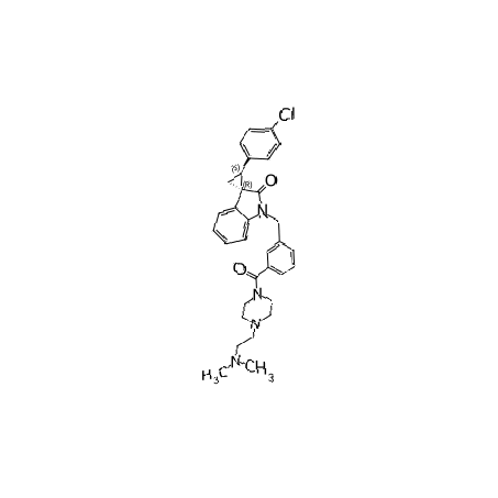 CN(C)CCN1CCN(C(=O)c2cccc(CN3C(=O)[C@@]4(C[C@H]4c4ccc(Cl)cc4)c4ccccc43)c2)CC1